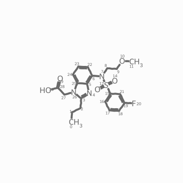 CCCc1nc2c(N(CCOC)S(=O)(=O)c3cccc(F)c3)cccc2n1CC(=O)O